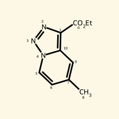 CCOC(=O)c1nnn2ccc(C)cc12